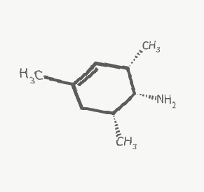 CC1=C[C@H](C)[C@H](N)[C@H](C)C1